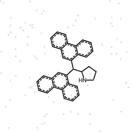 c1ccc2c(c1)cc(C(c1cc3ccccc3c3ccccc13)C1CCCN1)c1ccccc12